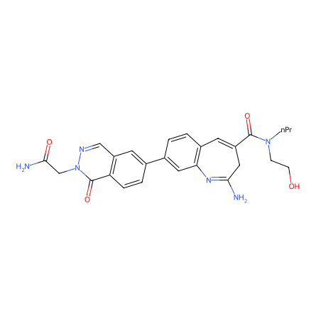 CCCN(CCO)C(=O)C1=Cc2ccc(-c3ccc4c(=O)n(CC(N)=O)ncc4c3)cc2N=C(N)C1